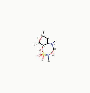 C[C@@H]1O[C@@H](C)CC2C1OS(=O)(=O)N(C)OCN2C